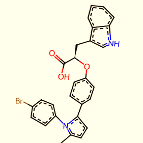 Cc1ccc(-c2ccc(O[C@H](Cc3c[nH]c4ccccc34)C(=O)O)cc2)n1-c1ccc(Br)cc1